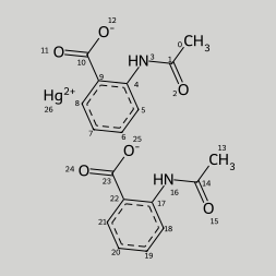 CC(=O)Nc1ccccc1C(=O)[O-].CC(=O)Nc1ccccc1C(=O)[O-].[Hg+2]